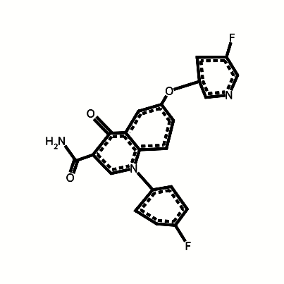 NC(=O)c1cn(-c2ccc(F)cc2)c2ccc(Oc3cncc(F)c3)cc2c1=O